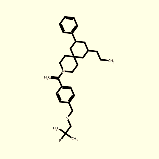 C=C(c1ccc(CSCC(C)(C)F)cc1)N1CCC2(CC1)CC(CCC)CC(c1ccccc1)C2